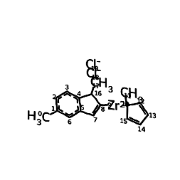 Cc1ccc2c(c1)C=[C]([Zr+2][C]1(C)C=CC=C1)C2C.[Cl-].[Cl-]